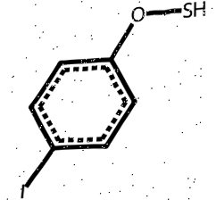 SOc1ccc(I)cc1